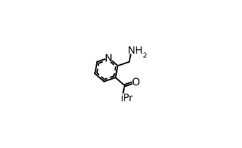 CC(C)C(=O)c1cccnc1CN